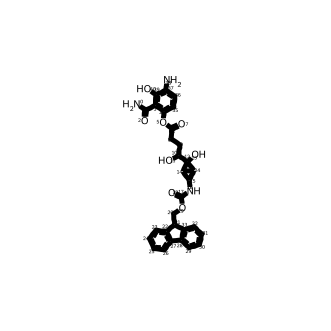 NC(=O)c1c(OC(=O)CCC(O)C2(O)C3C(NC(=O)OCC4c5ccccc5-c5ccccc54)C32)ccc(N)c1O